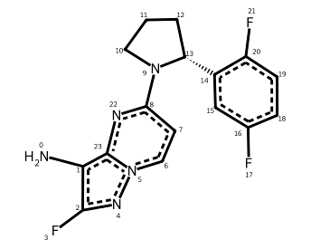 Nc1c(F)nn2ccc(N3CCC[C@@H]3c3cc(F)ccc3F)nc12